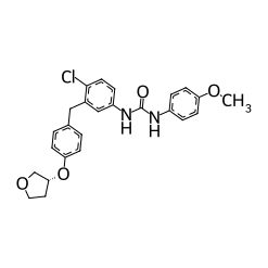 COc1ccc(NC(=O)Nc2ccc(Cl)c(Cc3ccc(O[C@@H]4CCOC4)cc3)c2)cc1